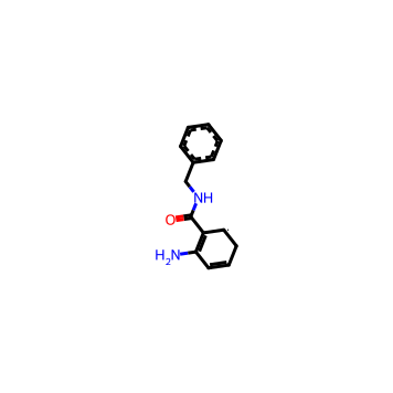 NC1=C(C(=O)NCc2ccccc2)[CH]CC=C1